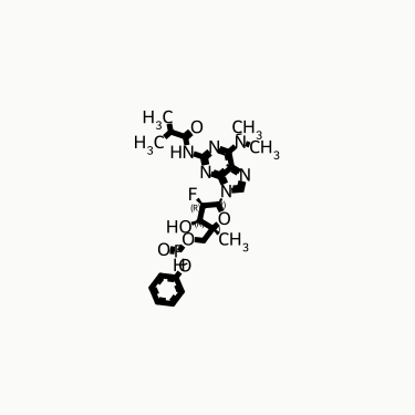 CC(C)C(=O)Nc1nc(N(C)C)c2ncn([C@@H]3O[C@](C)(CO[PH](=O)Oc4ccccc4)[C@@H](O)[C@H]3F)c2n1